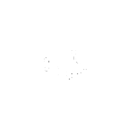 C=CCN(CCC[C@H](NC(=O)OC(C)(C)C)C(=O)N1C[C@H](OC(=O)N2Cc3cccc(F)c3C2)CC1C(=O)N[C@]1(C(=O)OCC)CC1C=C)C(=O)OCC1c2ccccc2-c2ccccc21